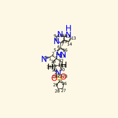 N#CC[C@]1(n2cc(-c3ncnc4[nH]ccc34)cn2)C[C@H]2CN(S(=O)(=O)C3CCCC3)C[C@H]2C1